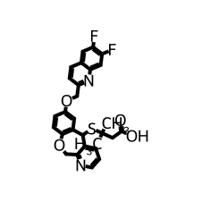 CC(C)(CC(=O)O)SC1c2cc(OCc3ccc4cc(F)c(F)cc4n3)ccc2OCc2ncccc21